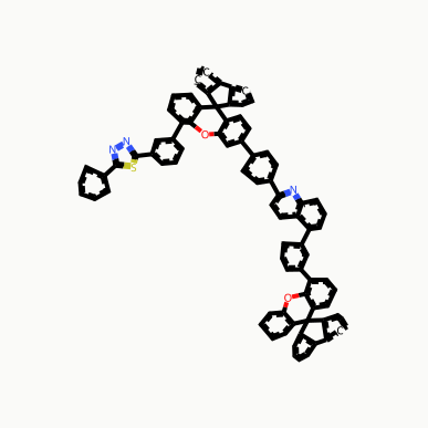 c1ccc(-c2nnc(-c3cccc(-c4cccc5c4Oc4cc(-c6ccc(-c7ccc8c(-c9cccc(-c%10cccc%11c%10Oc%10ccccc%10C%11%10c%11ccccc%11-c%11ccccc%11%10)c9)cccc8n7)cc6)ccc4C54c5ccccc5-c5ccccc54)c3)s2)cc1